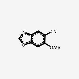 COc1cc2ocnc2cc1C#N